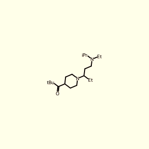 CCC(CCN(CC)C(C)C)N1CCC(C(=O)C(C)(C)C)CC1